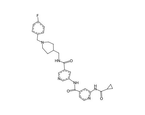 O=C(NCC1CCN(Cc2ccc(F)cc2)CC1)c1cncc(NC(=O)c2ccnc(NC(=O)C3CC3)c2)c1